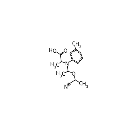 Cc1cccc(N(C(C)OC(C)C#N)C(C)C(=O)O)c1